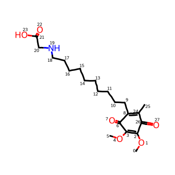 COC1=C(OC)C(=O)C(CCCCCCCCCCNCC(=O)O)=C(C)C1=O